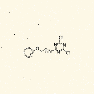 Clc1nc(Cl)nc(NCCOc2ccccc2)n1